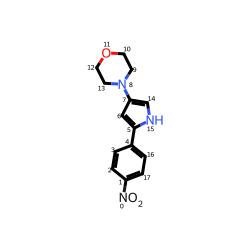 O=[N+]([O-])c1ccc(-c2cc(N3CCOCC3)c[nH]2)cc1